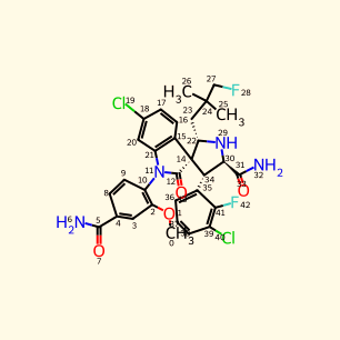 COc1cc(C(N)=O)ccc1N1C(=O)[C@]2(c3ccc(Cl)cc31)[C@H](CC(C)(C)CF)N[C@@H](C(N)=O)[C@@H]2c1cccc(Cl)c1F